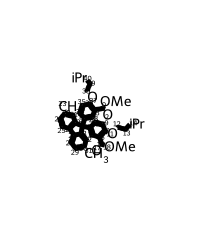 COC(=O)c1cc(C2(c3ccc(OCCC(C)C)c(C(=O)OC)c3)c3cc(C)ccc3-c3ccc(C)cc32)ccc1OCCC(C)C